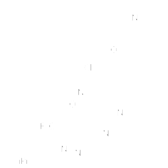 CC(C)CCn1ncc(-c2onc(-c3cccc(OCCN(C)C)c3Cl)c2-c2ncccn2)c1C(F)(F)F